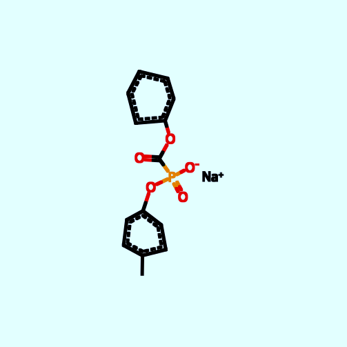 Cc1ccc(OP(=O)([O-])C(=O)Oc2ccccc2)cc1.[Na+]